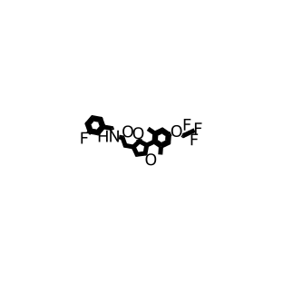 Cc1cc(OCC(F)(F)F)cc(C)c1C1C(=O)CC(CC(=O)NCc2cccc(F)c2)C1=O